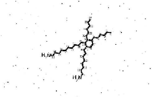 CCCCCCC1C=CC(CCCCCCCCN)C(CCCCCCCCCCN)C1CCCCCC